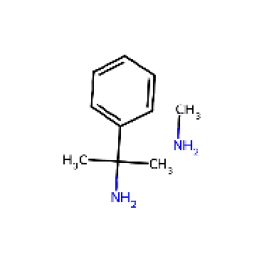 CC(C)(N)c1ccccc1.CN